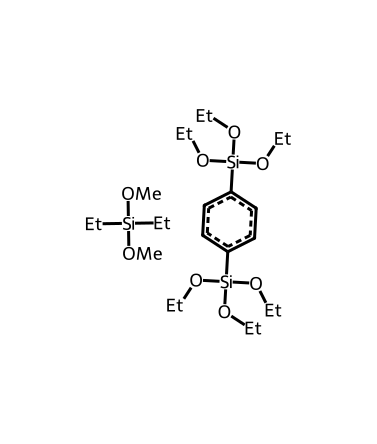 CCO[Si](OCC)(OCC)c1ccc([Si](OCC)(OCC)OCC)cc1.CC[Si](CC)(OC)OC